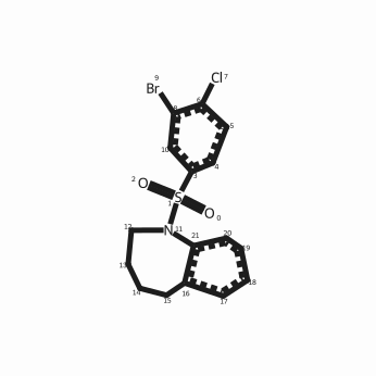 O=S(=O)(c1ccc(Cl)c(Br)c1)N1CCCCc2ccccc21